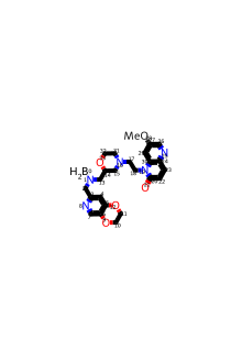 BN(Cc1cc2c(cn1)OCCO2)CC1CN(CCn2c(=O)ccc3ncc(OC)cc32)CCO1